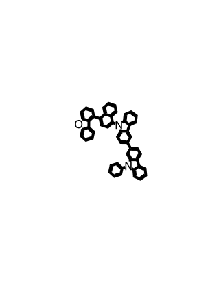 c1ccc(-n2c3ccccc3c3ccc(-c4ccc5c(c4)c4ccccc4n5-c4ccc(-c5cccc6oc7ccccc7c56)c5ccccc45)cc32)cc1